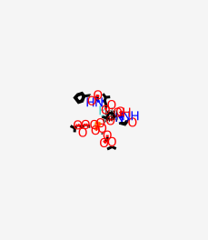 CC(C)OC(=O)OCOP(=O)(OCOC(=O)OC(C)C)OC[C@@]1(CF)O[C@@H](n2ccc(=O)[nH]c2=O)[C@](C)(O)[C@@H]1OC(=O)C(NC(=O)OCc1ccccc1)C(C)C